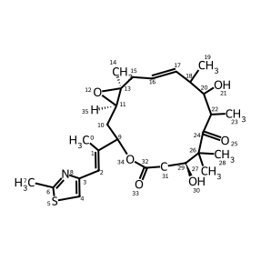 C/C(=C\c1csc(C)n1)C1C[C@H]2O[C@@]2(C)C/C=C/C(C)C(O)C(C)C(=O)C(C)(C)[C@@H](O)CC(=O)O1